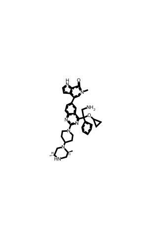 C[C@@H]1CN(C2CCN(c3nc(C(CN)(OC4CC4)c4ccccc4)c4cc(-c5cn(C)c(=O)c6[nH]ccc56)ccc4n3)CC2)[C@@H](C)CN1